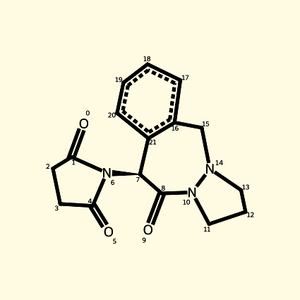 O=C1CCC(=O)N1[C@@H]1C(=O)N2CCCN2Cc2ccccc21